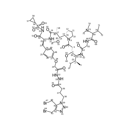 CC[C@H](C)[C@@H]([C@@H](CC(=O)N1CCC[C@H]1[C@H](OC)[C@@H](C)C(=O)N[C@@H](Cc1ccc(OCC(=O)NNC(=O)CCCn2nnc(CBr)c2CBr)cc1)C(=O)NS(=O)(=O)C1CC1)OC)N(C)C(=O)CNC(=O)C(C(C)C)N(C)C